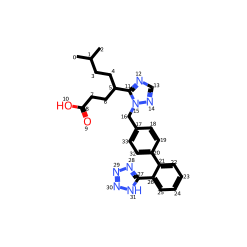 CC(C)CCC(CCC(=O)O)c1ncnn1Cc1ccc(-c2ccccc2-c2nnn[nH]2)cc1